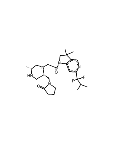 CC(C)C(F)(F)c1cc2c(cn1)C(C)(C)CN2C(=O)CN1C[C@@H](C)NC[C@@H]1CN1CCCC1=O